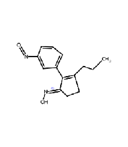 CCCC1=C(c2cccc(N=O)c2)/C(=N/O)CC1